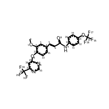 COc1cc(C=CC(=O)Nc2ccc(OC(F)(F)F)cc2)ccc1Oc1cc(C(F)(F)F)ncn1